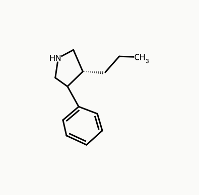 CCC[C@H]1CNCC1c1ccccc1